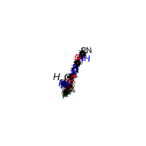 Cc1cc(N2CCN(c3ccc(C(=O)Nc4ccc(C#N)cc4)cc3)CC2)ccc1OC[C@@H]1CO[C@@](Cn2cncn2)(c2ccc(F)cc2F)C1